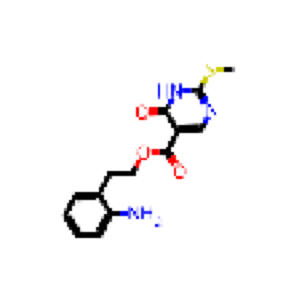 CSc1ncc(C(=O)OCCc2ccccc2N)c(=O)[nH]1